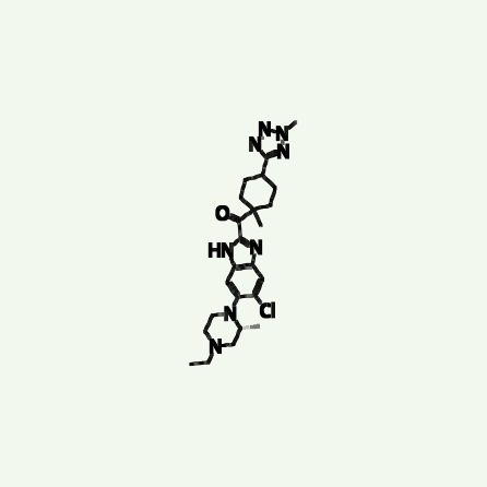 CCN1CCN(c2cc3[nH]c(C(=O)C4(C)CCC(c5nnn(C)n5)CC4)nc3cc2Cl)[C@H](C)C1